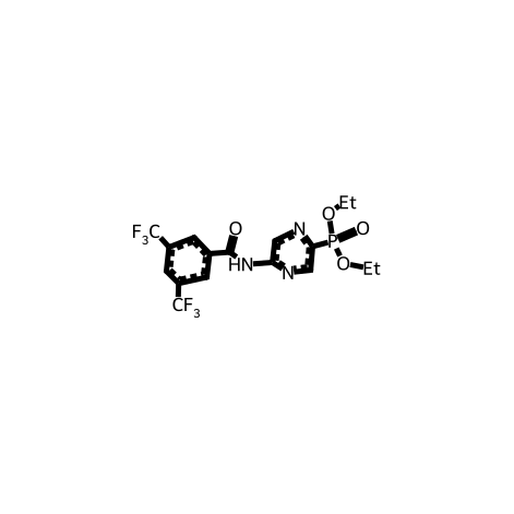 CCOP(=O)(OCC)c1cnc(NC(=O)c2cc(C(F)(F)F)cc(C(F)(F)F)c2)cn1